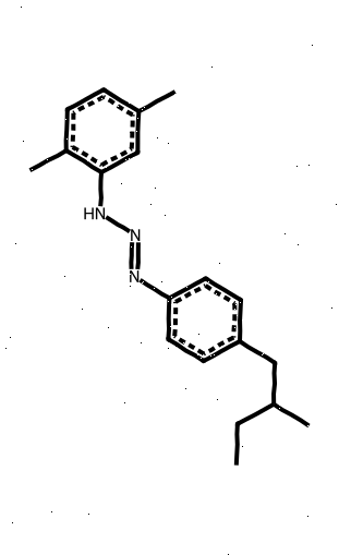 CCC(C)Cc1ccc(N=NNc2cc(C)ccc2C)cc1